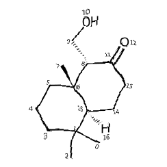 CC1(C)CCC[C@]2(C)[C@H](CO)C(=O)CC[C@@H]12